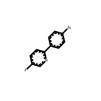 CC(=O)c1ccc(-c2ccc(F)cn2)cc1